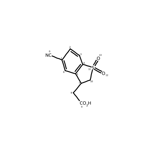 N#Cc1ccc2c(c1)C(CC(=O)O)CS2(=O)=O